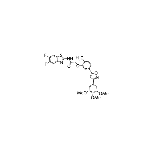 COc1cc(-c2cc(-c3ccc(C)c(OCC(=O)Nc4nc5cc(F)c(F)cc5s4)c3)on2)cc(OC)c1OC